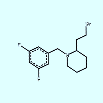 CC(C)CCC1CCCCN1Cc1cc(F)cc(F)c1